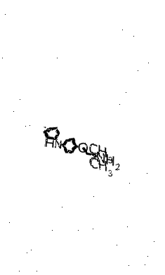 CC(C)(N)COc1ccc(Nc2cc[c]cc2)cc1